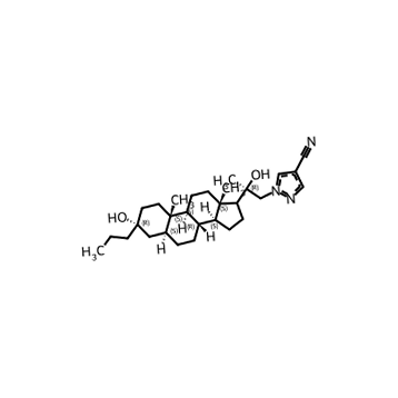 CCC[C@@]1(O)CC[C@@]2(C)[C@@H](CC[C@@H]3[C@@H]2CC[C@]2(C)C([C@@](C)(O)Cn4cc(C#N)cn4)CC[C@@H]32)C1